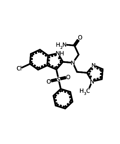 Cn1ccnc1CN(CC(N)=O)c1[nH]c2ccc(Cl)cc2c1S(=O)(=O)c1ccccc1